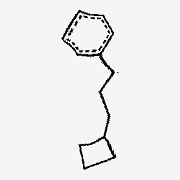 [CH](CCC1CCC1)c1ccccc1